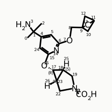 CC(C)(N)c1cc(OCC23CC(C2)C3)nc(O[C@@H]2[C@@H]3CN(C(=O)O)C[C@@H]32)c1